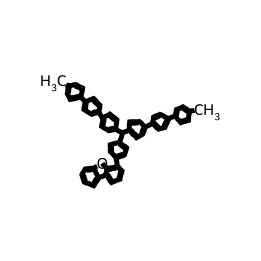 Cc1ccc(-c2ccc(-c3ccc(C(c4ccc(-c5ccc(-c6ccc(C)cc6)cc5)cc4)c4ccc(-c5cccc6c5oc5ccccc56)cc4)cc3)cc2)cc1